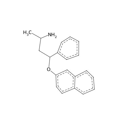 CC(N)CC(Oc1ccc2ccccc2c1)c1ccccc1